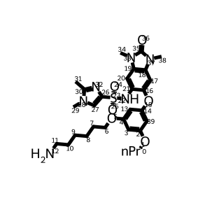 CCCOc1cc(OCCCCCCN)cc(Oc2cc3c(cc2NS(=O)(=O)c2cn(C)c(C)n2)n(C)c(=O)n3C)c1